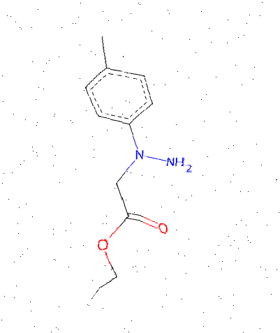 CCOC(=O)CN(N)c1ccc(C)cc1